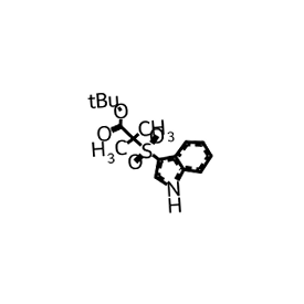 CC(C)(C)OC(=O)C(C)(C)S(=O)(=O)c1c[nH]c2ccccc12